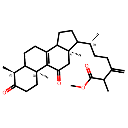 C=C(CC[C@@H](C)C1CCC2C3=C(C(=O)C[C@@]21C)[C@@]1(C)CCC(=O)[C@@H](C)C1CC3)C(C)C(=O)OC